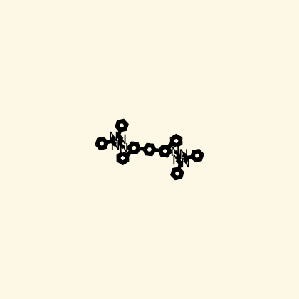 c1ccc(-c2nc(-c3ccccc3)nc(-n3c4ccccc4c4cc(-c5ccc(-c6ccc7c(c6)c6ccccc6n7-c6nc(-c7ccccc7)nc(-c7ccccc7)n6)cc5)ccc43)n2)cc1